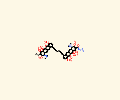 CC(=O)C1=C(O)C(N(C)C)C2CC3Cc4c(C#CCCC#Cc5ccc(O)c6c5CC5CC7C(N(C)C)C(O)=C(C(N)=O)C(=O)C7(O)C(O)=C5C6=O)ccc(O)c4C(=O)C3=C(O)C2(O)C1=O